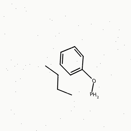 CCCC.POc1ccccc1